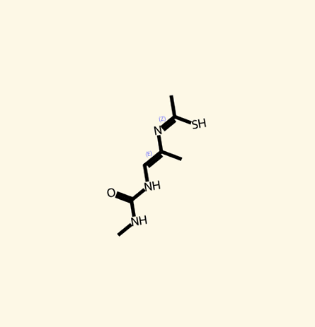 CNC(=O)N/C=C(C)/N=C(/C)S